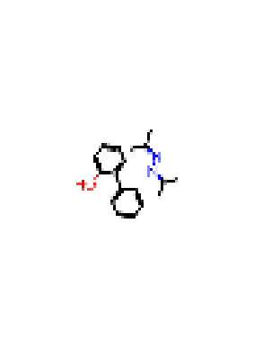 CC(C)=NN=C(C)C.Oc1ccccc1-c1ccccc1